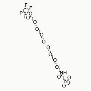 O=C(CCN1C(=O)C=CC1=O)NCCOCCOCCOCCOCCOCCOCCOCCOCCC(=O)Oc1c(F)c(F)cc(F)c1F